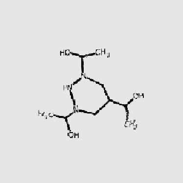 CC(O)C1CN(C(C)O)NN(C(C)O)C1